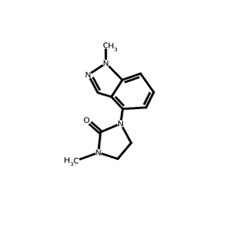 CN1CCN(c2cccc3c2cnn3C)C1=O